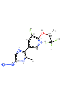 Cc1nc(NN)cnc1-c1cnc(O[C@H](C)C(F)(F)F)c(F)c1